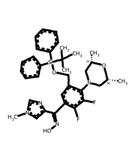 C[C@@H]1CN(c2c(CO[Si](c3ccccc3)(c3ccccc3)C(C)(C)C)cc(C(=NO)c3cn(C)cn3)c(F)c2F)C[C@H](C)O1